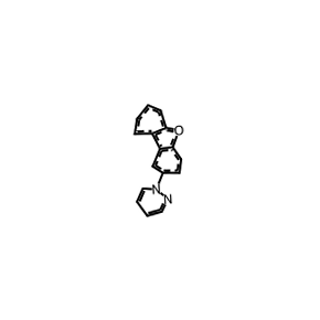 C1=CC=CN(c2ccc3oc4ccccc4c3c2)N=1